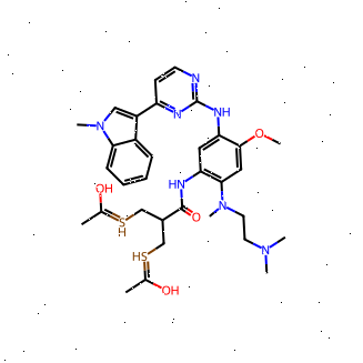 COc1cc(N(C)CCN(C)C)c(NC(=O)C(C[SH]=C(C)O)C[SH]=C(C)O)cc1Nc1nccc(-c2cn(C)c3ccccc23)n1